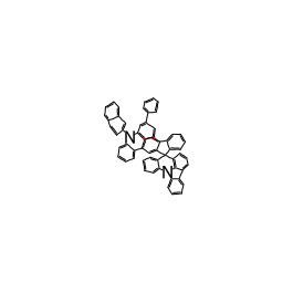 c1ccc(-c2cccc(N(c3ccc4ccccc4c3)c3ccccc3-c3ccc4c(c3)C3(c5ccccc5-4)c4ccccc4-n4c5ccccc5c5cccc3c54)c2)cc1